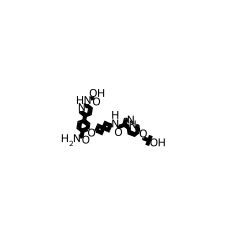 CC(C)(O)COc1ccc2c(C(=O)NC3CC4(C3)CC(Oc3cc(-c5ccc(NC(=O)O)nc5)ccc3C(N)=O)C4)cnn2c1